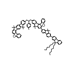 CCCCCCCC1(CCCCCCC)c2ccccc2-c2ccc(-c3ccc4c(c3)C(C)(C)c3cc(-c5cc6c(c7c5oc5ccccc57)-c5ccc(CC(Cc7ccc8c(c7)C(C)(C)c7cc9c(cc7-8)C(C)(C)c7ccc8oc%10ccccc%10c8c7-9)c7ccc(C)cc7)cc5C6(C)C)ccc3-4)cc21